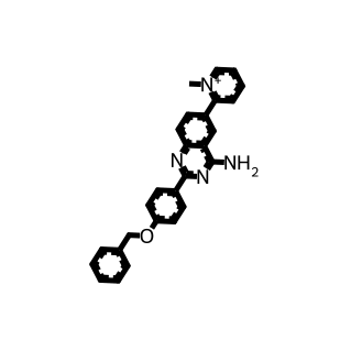 C[n+]1ccccc1-c1ccc2nc(-c3ccc(OCc4ccccc4)cc3)nc(N)c2c1